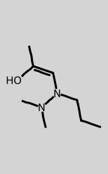 CCCN(C=C(C)O)N(C)C